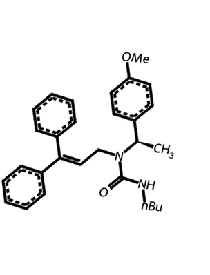 CCCCNC(=O)N(CC=C(c1ccccc1)c1ccccc1)[C@H](C)c1ccc(OC)cc1